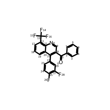 O=C(c1ccccc1)c1cnc2c(C(F)(F)F)cccc2c1-c1ccc(F)c(F)c1